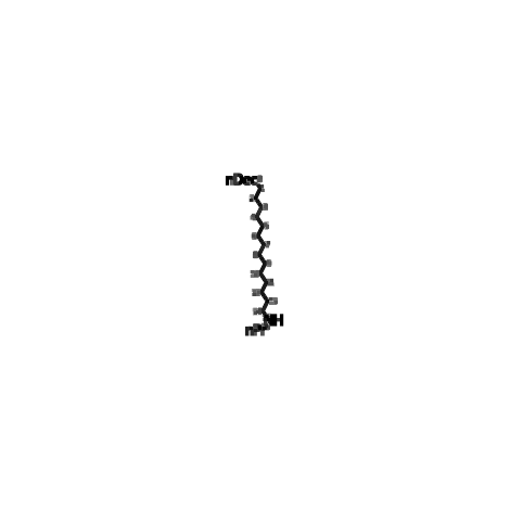 CCCCCCCCCCCCCCCCCCCCCCCCNCCC